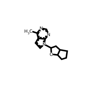 Cc1ncnc2c1ccn2C1CC2CCCC2O1